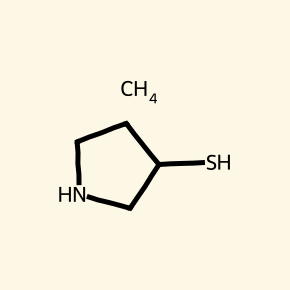 C.SC1CCNC1